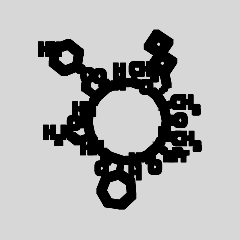 CCC[C@H]1C(=O)N[C@@H](C2CCCCCC2)C(=O)N[C@@H](CN)C(=O)N[C@@H](COC2CCNCC2)C(=O)N[C@H](C)O[C@H](CC2CC3(CCC3)C2)[C@@H](C)C(=O)N1C